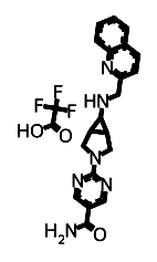 NC(=O)c1cnc(N2CC3C(C2)C3NCc2ccc3ccccc3n2)nc1.O=C(O)C(F)(F)F